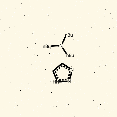 CCCCN(CCCC)CCCC.c1c[nH]nn1